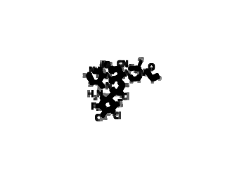 C=CC(=O)N1CCN(c2c(C#N)c(=O)n(C3C(C(C)C)=NC=CC3C)c3nc(-c4c(N)c(F)c(Cl)c(Cl)c4F)c(Cl)cc23)C[C@H]1C